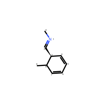 C/N=C/[C@H]1C=CC=CC1C